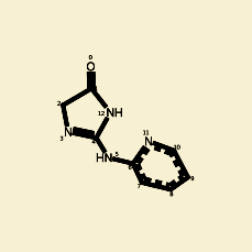 O=C1CN=C(Nc2ccccn2)N1